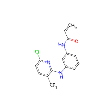 C=CC(=O)Nc1cccc(Nc2nc(Cl)ccc2C(F)(F)F)c1